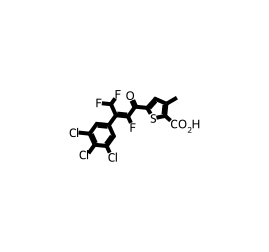 Cc1cc(C(=O)C(F)=C(c2cc(Cl)c(Cl)c(Cl)c2)C(F)F)sc1C(=O)O